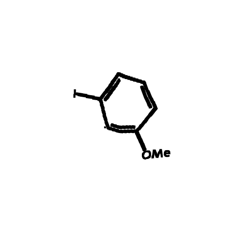 COc1[c]c(I)ccc1